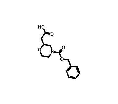 O=C(O)CC1CN(C(=O)OCc2ccccc2)CCO1